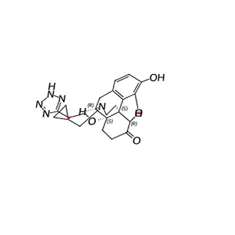 O=C1CC[C@@]2(OCCc3nn[nH]n3)[C@H]3Cc4ccc(O)c5c4[C@@]2(CCN3CC2CC2)[C@H]1O5